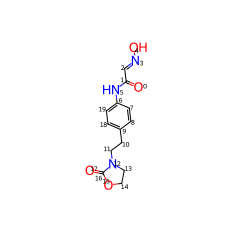 O=C(/C=N/O)Nc1ccc(CCN2CCOC2=O)cc1